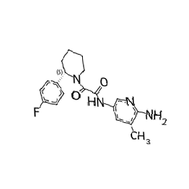 Cc1cc(NC(=O)C(=O)N2CCCC[C@H]2c2ccc(F)cc2)cnc1N